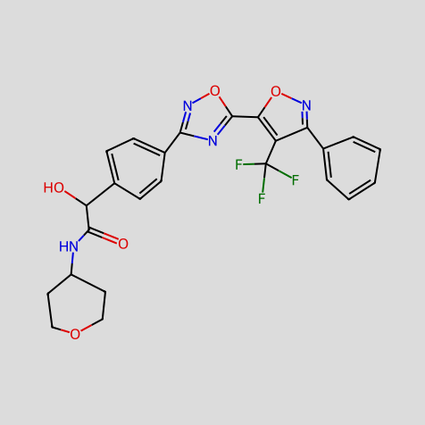 O=C(NC1CCOCC1)C(O)c1ccc(-c2noc(-c3onc(-c4ccccc4)c3C(F)(F)F)n2)cc1